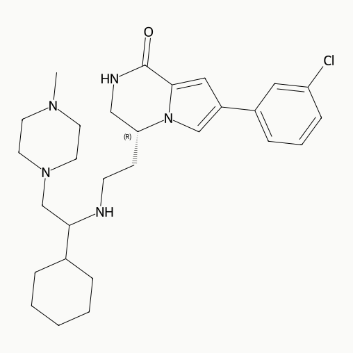 CN1CCN(CC(NCC[C@@H]2CNC(=O)c3cc(-c4cccc(Cl)c4)cn32)C2CCCCC2)CC1